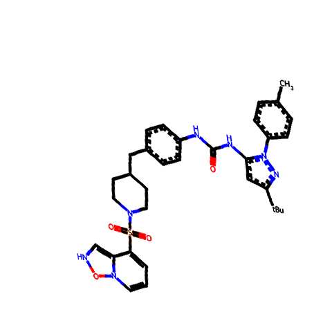 Cc1ccc(-n2nc(C(C)(C)C)cc2NC(=O)Nc2ccc(CC3CCN(S(=O)(=O)C4=CC=CN5ONC=C45)CC3)cc2)cc1